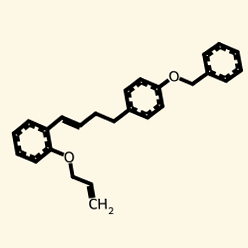 C=CCOc1ccccc1C=CCCc1ccc(OCc2ccccc2)cc1